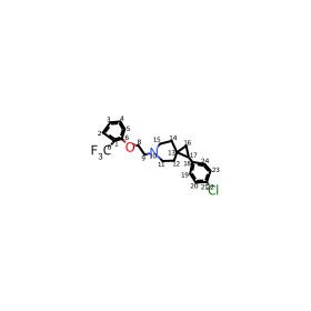 FC(F)(F)c1ccccc1OCCN1CCC2(CC1)CC2c1ccc(Cl)cc1